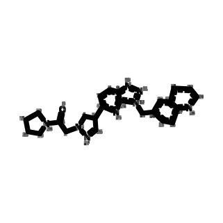 O=C(CN1CC(c2ccc3nnn(Cc4ccc5ncccc5c4)c3n2)C=N1)N1CCCC1